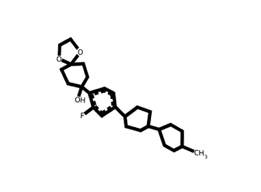 CC1CCC(C2CCC(c3ccc(C4(O)CCC5(CC4)OCCO5)c(F)c3)CC2)CC1